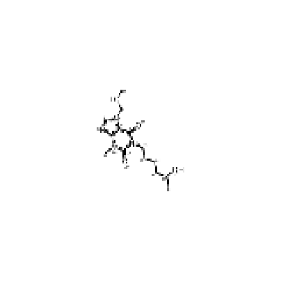 COCn1cnc2c1c(=O)n(CCCCC(C)O)c(=O)n2C